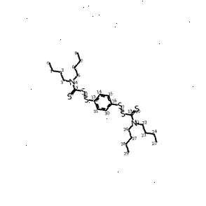 CCCCN(CCCC)C(=S)SSc1ccc(SSC(=S)N(CCCC)CCCC)cc1